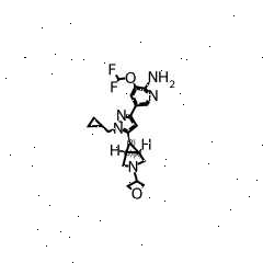 Nc1ncc(-c2cc([C@H]3[C@@H]4CN(C5COC5)C[C@@H]43)n(CC3CC3)n2)cc1OC(F)F